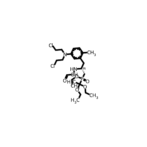 CCOC(C)(OCC)P(=O)(C[C@@H](Cc1cc(N(CCCl)CCCl)ccc1C)NBC=O)OCC